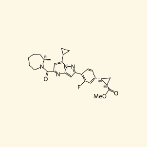 COC(=O)[C@@H]1C[C@H]1c1ccc(-c2cc3nc(C(=O)N4CCCCC[C@H]4C)cc(C4CC4)n3n2)c(F)c1